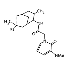 CCC1(C)CC2CC(C)C(NC(=O)Cn3cccc(NC)c3=O)C(C2)C1